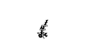 CCCCCCNC(=O)CC(NC(=O)c1cc(-c2c(OC)cccc2OC)n(CC(CC)CC)n1)C(C)C